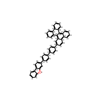 c1ccc2c(c1)oc1cc(-c3ccc(-c4ccc(-c5ccc6c7ccccc7c7c8ccccc8c8ccccc8c7c6c5)cc4)cc3)ccc12